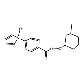 C=C[Si](C=C)(CC)c1ccc(C(=O)OO[C]2CCCC(C)C2)cc1